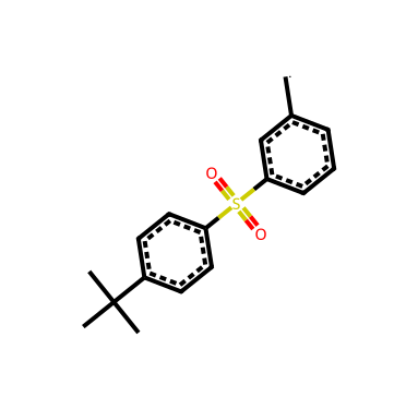 [CH2]c1cccc(S(=O)(=O)c2ccc(C(C)(C)C)cc2)c1